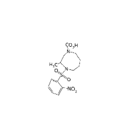 CC1CN(C(=O)O)CCCCN1S(=O)(=O)c1ccccc1[N+](=O)[O-]